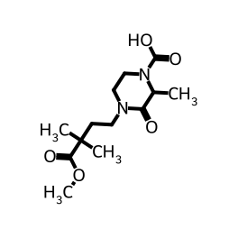 COC(=O)C(C)(C)CCN1CCN(C(=O)O)C(C)C1=O